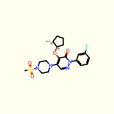 C[C@@H]1CCC[C@H]1Oc1c(N2CCN(S(C)(=O)=O)CC2)cnn(-c2cccc(F)c2)c1=O